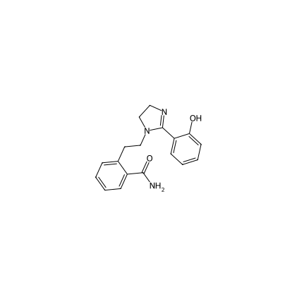 NC(=O)c1ccccc1CCN1CCN=C1c1ccccc1O